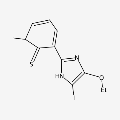 CCOc1nc(C2=CC=CC(C)C2=S)[nH]c1I